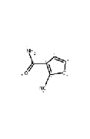 N#Cc1occc1C(N)=O